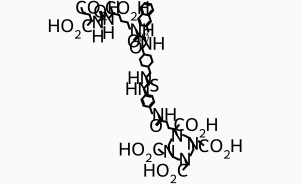 O=C(O)CCC(NC(=O)NC(CCCCNC(=O)[C@H](Cc1ccc2ccccc2c1)NC(=O)C1CCC(CNC(=S)Nc2ccc(CNC(=O)CCC(C(=O)O)N3CCN(CC(=O)O)CCN(CC(=O)O)CCN(CC(=O)O)CC3)cc2)CC1)C(=O)O)C(=O)O